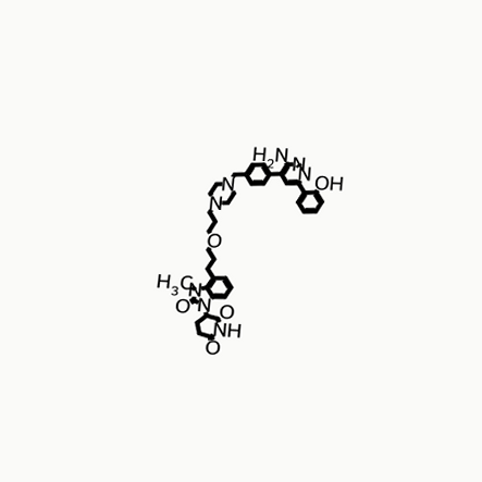 Cn1c(=O)n(C2CCC(=O)NC2=O)c2cccc(CCCOCCCN3CCN(Cc4ccc(-c5cc(-c6ccccc6O)nnc5N)cc4)CC3)c21